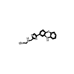 CC(C)(C)CNCc1nc(-c2ccc3c(c2)Nc2ccccc2S3)cs1